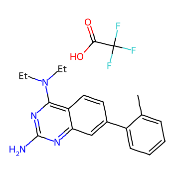 CCN(CC)c1nc(N)nc2cc(-c3ccccc3C)ccc12.O=C(O)C(F)(F)F